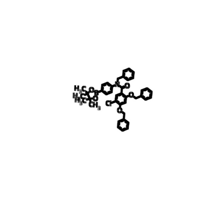 CC1(C)OB(c2ccc(N(Cc3ccccc3)C(=O)c3cc(Cl)c(OCc4ccccc4)cc3OCc3ccccc3)cc2)OC1(C)C